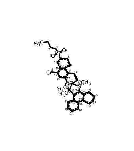 CCCCS(=O)(=O)c1ccc2c3c(cc(Cl)c2c1)OC1(C=C3)N(C)c2c(c3ccccc3c3ccccc23)C1(C)C